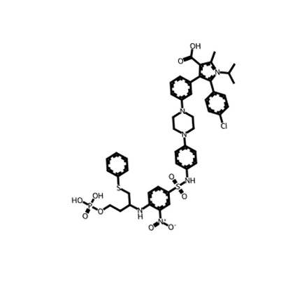 Cc1c(C(=O)O)c(-c2cccc(N3CCN(c4ccc(NS(=O)(=O)c5ccc(NC(CCOP(=O)(O)O)CSc6ccccc6)c([N+](=O)[O-])c5)cc4)CC3)c2)c(-c2ccc(Cl)cc2)n1C(C)C